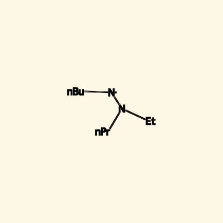 CCCC[N]N(CC)CCC